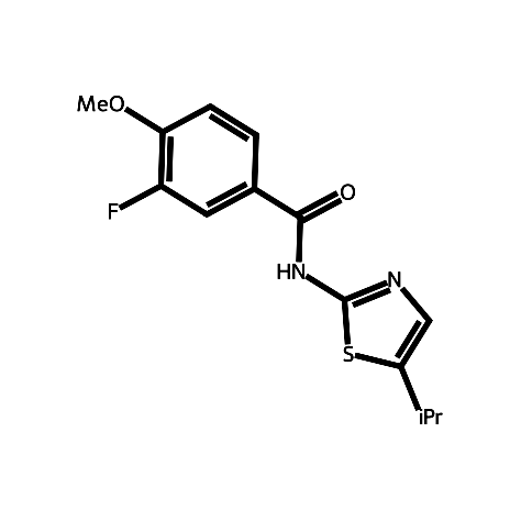 COc1ccc(C(=O)Nc2ncc(C(C)C)s2)cc1F